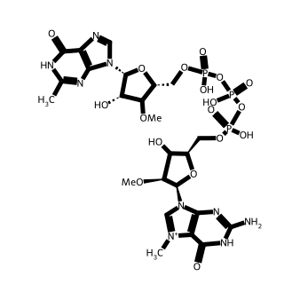 COC1[C@@H](COP(=O)(O)OP(=O)(O)OP(=O)(O)OC[C@H]2O[C@@H](n3c[n+](C)c4c(=O)[nH]c(N)nc43)[C@@H](OC)C2O)O[C@@H](n2cnc3c(=O)[nH]c(C)nc32)[C@H]1O